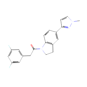 Cn1ccc(-c2ccc3c(c2)CCN3C(=O)Cc2cc(F)cc(F)c2)n1